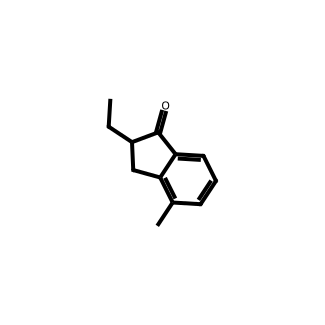 CCC1Cc2c(C)cccc2C1=O